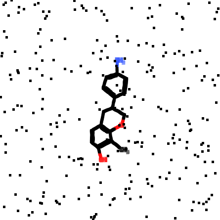 Cc1c(O)ccc2c1OCC(c1ccc(N)cc1)C2